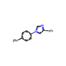 CC(C)c1ccc(-n2cnc(C(C)C)c2)cc1